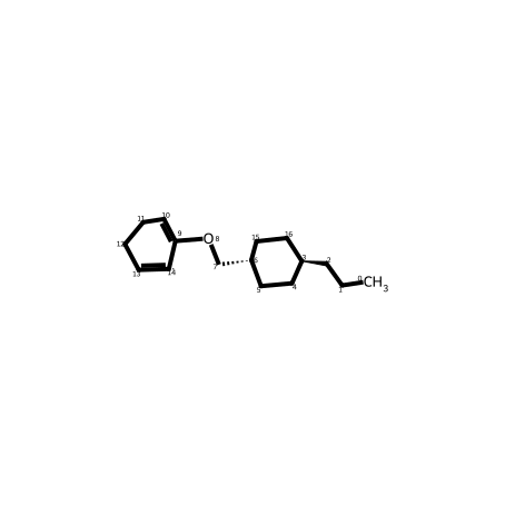 CCC[C@H]1CC[C@H](COC2=CCCC=[C]2)CC1